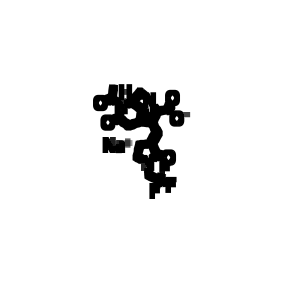 CC(=O)N1C(=O)CC2C(/C=C3\CCN(CC(F)(F)F)C3=O)=C(C(=O)[O-])N3C[C@H]1[C@@H]23.[Na+]